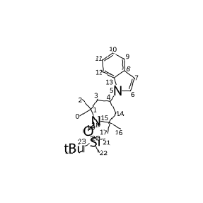 CC1(C)CC(n2ccc3ccccc32)CC(C)(C)N1O[Si](C)(C)C(C)(C)C